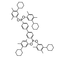 Cc1cc(C)c(C2CCCCC2)cc1OP(Oc1cc(C2CCCCC2)c(C)cc1C)c1ccc(-c2ccc(P(Oc3cc(C4CCCCC4)c(C)cc3C)Oc3cc(C4CCCCC4)c(C)cc3C)cc2)cc1